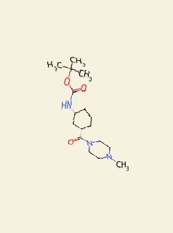 CN1CCN(C(=O)[C@H]2CCC[C@@H](NC(=O)OC(C)(C)C)C2)CC1